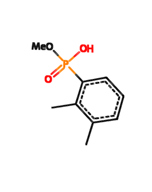 COP(=O)(O)c1cccc(C)c1C